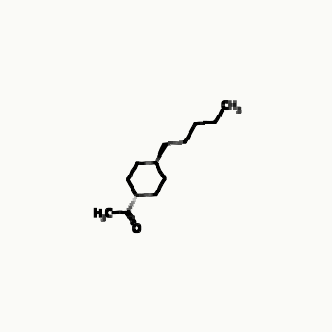 CCCCC[C@H]1CC[C@H](C(C)=O)CC1